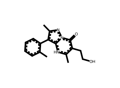 Cc1ccccc1-c1c(C)nn2c(=O)c(CCO)c(C)[nH]c12